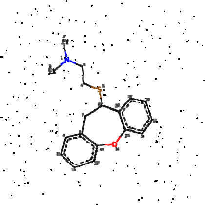 CCN(CC)CCSC1Cc2ccccc2Oc2ccccc21